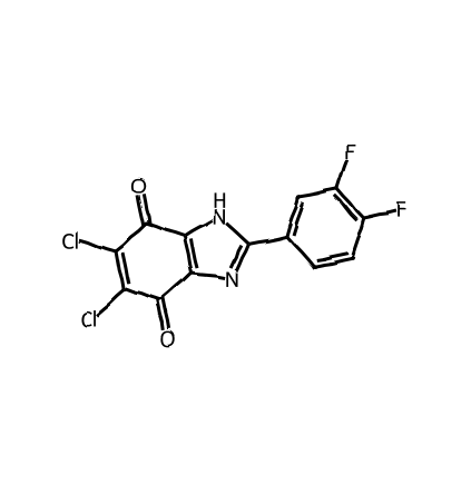 O=C1C(Cl)=C(Cl)C(=O)c2[nH]c(-c3ccc(F)c(F)c3)nc21